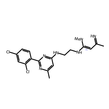 CN/C(=C\C(C)=N)NCCNc1cc(C)nc(-c2ccc(Cl)cc2Cl)n1